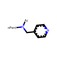 CCCCCN(Cc1ccncc1)C(C)=O